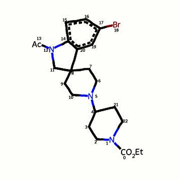 CCOC(=O)N1CCC(N2CCC3(CC2)CN(C(C)=O)c2ccc(Br)cc23)CC1